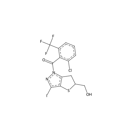 O=C(c1c(Cl)cccc1C(F)(F)F)n1nc(I)c2c1CC(CO)S2